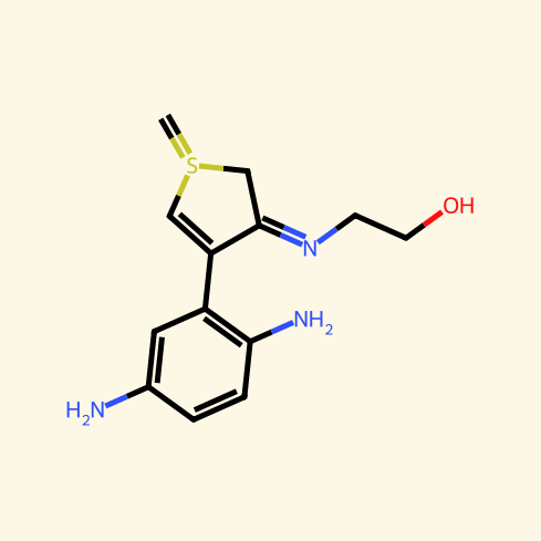 C=S1C=C(c2cc(N)ccc2N)C(=NCCO)C1